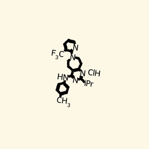 Cc1ccc(Nc2nc(C(C)C)nc3c2CCN(c2ncccc2C(F)(F)F)CC3)cc1.Cl